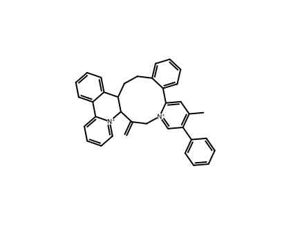 C=C1C[n+]2cc(-c3ccccc3)c(C)cc2-c2ccccc2CCC2c3ccccc3-c3cccc[n+]3C12